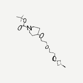 CC(C)(C)OC(=O)N1CCC(OCCOCCCO[C@H]2C[C@H](C)C2)CC1